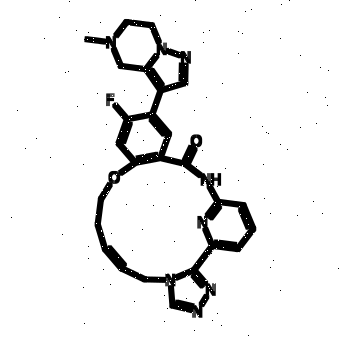 CN1CCn2ncc(-c3cc4c(cc3F)OCC/C=C\Cn3cnnc3-c3cccc(n3)NC4=O)c2C1